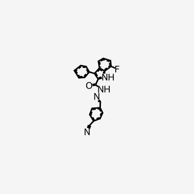 N#Cc1ccc(C=NNC(=O)c2[nH]c3c(F)cccc3c2-c2ccccc2)cc1